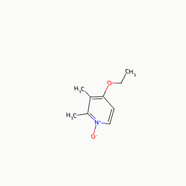 CCOc1cc[n+]([O-])c(C)c1C